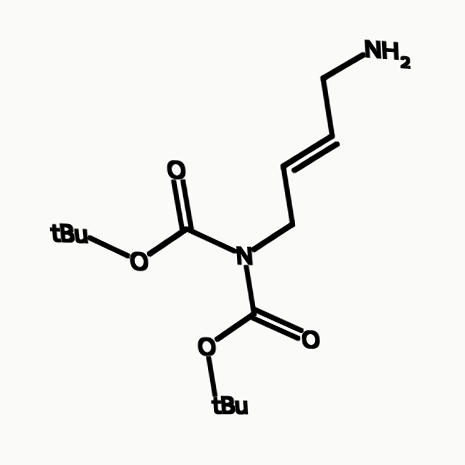 CC(C)(C)OC(=O)N(C/C=C/CN)C(=O)OC(C)(C)C